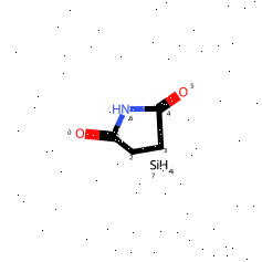 O=C1CCC(=O)N1.[SiH4]